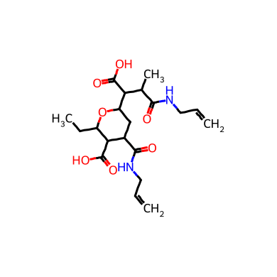 C=CCNC(=O)C(C)C(C(=O)O)C1CC(C(=O)NCC=C)C(C(=O)O)C(CC)O1